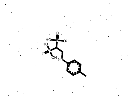 Cc1ccc(NCC(P(=O)(O)O)P(=O)(O)O)cc1